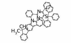 CC1(C)c2ccccc2-c2cc3c4ccccc4n(-c4ccccc4-c4nc(-c5ccccc5)c5c(n4)-c4ccccc4[Si]5(c4ccccc4)c4ccccc4)c3cc21